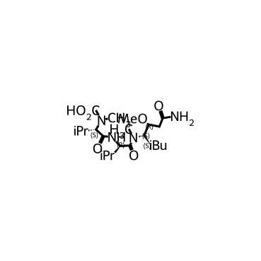 CC[C@H](C)[C@@H]([C@@H](CC(N)=O)OC)N(C)C(=O)[C@H](NC(=O)[C@H](C(C)C)N(C)C(=O)O)C(C)C